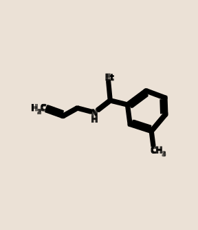 C=CCNC(CC)c1cccc(C)c1